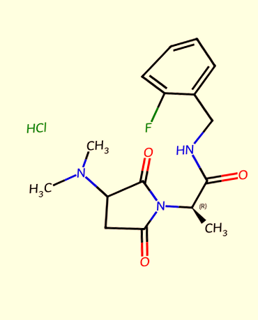 C[C@H](C(=O)NCc1ccccc1F)N1C(=O)CC(N(C)C)C1=O.Cl